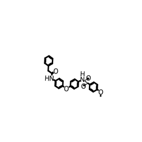 COc1ccc(S(=O)(=O)Nc2ccc(Oc3ccc(NC(=O)Cc4ccccc4)cc3)cc2)cc1